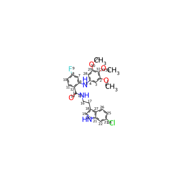 COc1cc(Nc2cc(F)ccc2C(=O)NCCc2c[nH]c3cc(Cl)ccc23)cc(OC)c1OC